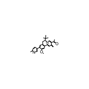 C=C1C=C2c3cc(OC)c(-c4ccc(C)nc4)cc3CC(C(C)(C)C)N2C=C1C(C)=O